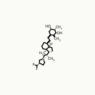 C=C1/C(=C\C=C2/CCC[C@]3(C)[C@@H]([C@H](C)CN4CC[C@@H](C(F)F)C4)CC[C@@H]23)C[C@@H](O)[C@H](C)[C@@H]1O